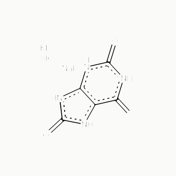 Cl.O=c1[nH]c(=O)c2[nH]c(=O)[nH]c2[nH]1.[KH].[NaH]